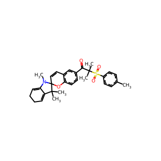 Cc1ccc(S(=O)(=O)C(C)(C)C(=O)c2ccc3c(c2)C=CC2(O3)N(C)C3=CCCC=C3C2(C)C)cc1